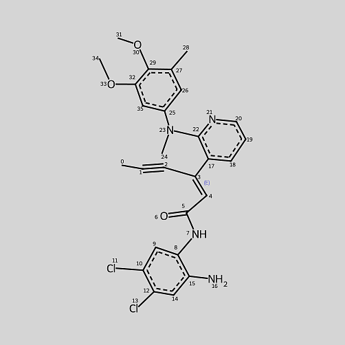 CC#C/C(=C\C(=O)Nc1cc(Cl)c(Cl)cc1N)c1cccnc1N(C)c1cc(C)c(OC)c(OC)c1